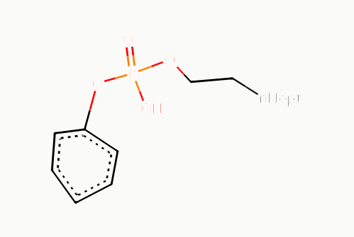 CCCCCCCCCOP(=O)(O)Oc1ccccc1